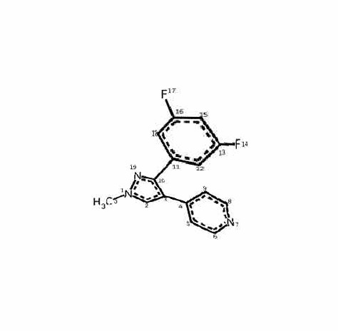 Cn1cc(-c2ccncc2)c(-c2cc(F)cc(F)c2)n1